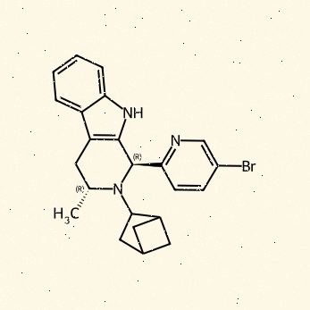 C[C@@H]1Cc2c([nH]c3ccccc23)[C@@H](c2ccc(Br)cn2)N1C1CC2CC1C2